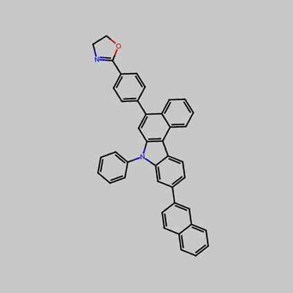 c1ccc(-n2c3cc(-c4ccc5ccccc5c4)ccc3c3c4ccccc4c(-c4ccc(C5=NCCO5)cc4)cc32)cc1